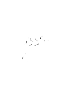 COCCOc1ccnc2cc(C(=O)OC)ccc12